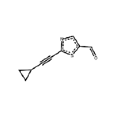 O=Cc1cnc(C#CC2CC2)s1